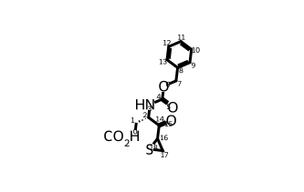 O=C(O)C[C@H](NC(=O)OCc1ccccc1)C(=O)C1CS1